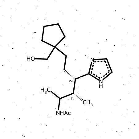 CC(=O)NC(C)[C@@H](C)[C@H](CCC1(CO)CCCC1)c1ncc[nH]1